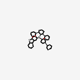 c1ccc(-c2ccc(N(c3ccc4sc5ccccc5c4c3)c3c(-c4ccccc4)cccc3-c3ccccc3)cc2)cc1